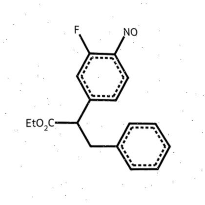 CCOC(=O)C(Cc1ccccc1)c1ccc(N=O)c(F)c1